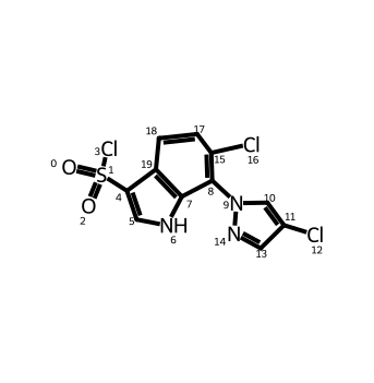 O=S(=O)(Cl)c1c[nH]c2c(-n3cc(Cl)cn3)c(Cl)ccc12